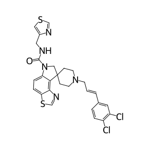 O=C(NCc1cscn1)N1CC2(CCN(CC=Cc3ccc(Cl)c(Cl)c3)CC2)c2c1ccc1scnc21